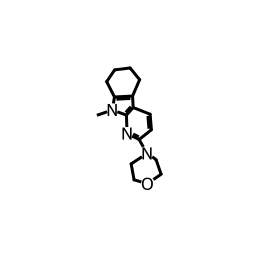 Cn1c2c(c3ccc(N4CCOCC4)nc31)CCCC2